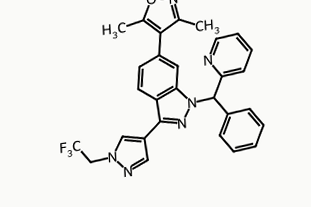 Cc1noc(C)c1-c1ccc2c(-c3cnn(CC(F)(F)F)c3)nn(C(c3ccccc3)c3ccccn3)c2c1